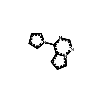 c1ccn(-c2ncnn3cccc23)c1